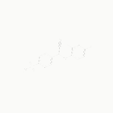 N#CC(Nc1ccc(F)cc1F)c1ccc(S(N)(=O)=O)cc1